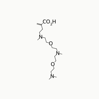 C=C(CCN(C)CCOCCN(C)CCOCCN(C)C)C(=O)O